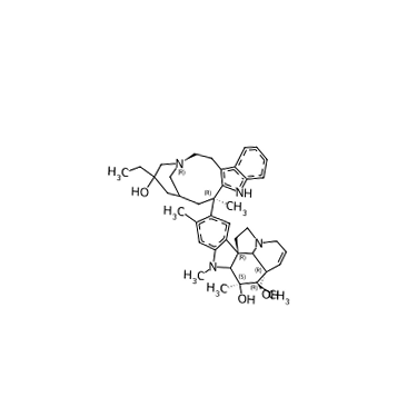 CCC1(O)CC2C[N@](CCc3c([nH]c4ccccc34)[C@@](C)(c3cc4c(cc3C)N(C)C3[C@]45CCN4CC=C[C@](CC)(C45)[C@@H](O)[C@@]3(C)O)C2)C1